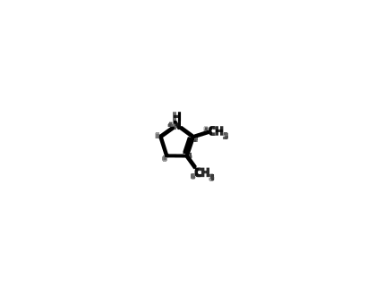 CC1=C(C)NCC1